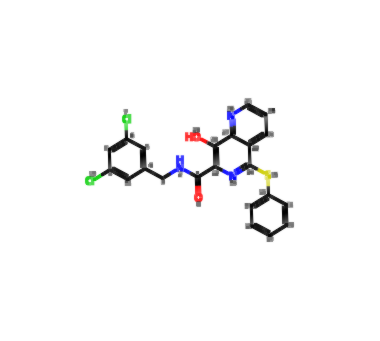 O=C(NCc1cc(Cl)cc(Cl)c1)c1nc(Sc2ccccc2)c2cccnc2c1O